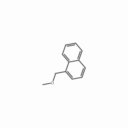 CO[C]c1cccc2ccccc12